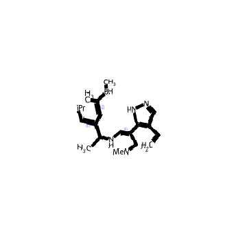 C=Cc1cn[nH]c1/C(=C/NC(C)C(/C=C(\C)BC)=C/C(C)C)CNC